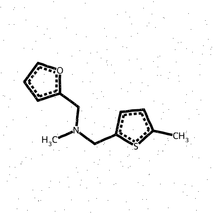 Cc1ccc(CN(C)Cc2ccco2)s1